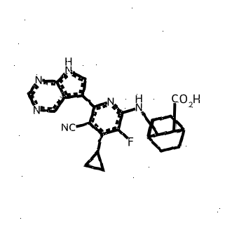 N#Cc1c(-c2c[nH]c3ncncc23)nc(NC2C3CCC(CC3)C2C(=O)O)c(F)c1C1CC1